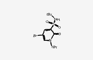 CCCn1cc(Br)cc(S(=O)(=O)NC(C)(C)C)c1=O